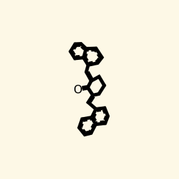 O=C1/C(=C/c2cccc3ccccc23)CCC/C1=C\c1cccc2ccccc12